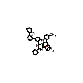 Cc1ccc2c(c1)c1cc(C)ccc1n2-c1ccc(-c2cccc3c2oc2ccccc23)cc1-c1nc(-c2ccccc2)nc(-c2ccccc2)n1